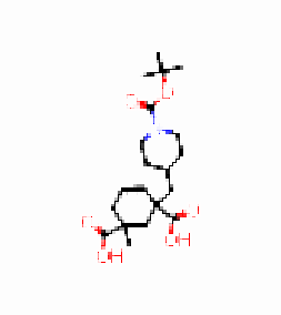 CC(C)(C)OC(=O)N1CCC(CC2(C(=O)O)C=CCC(C)(C(=O)O)C2)CC1